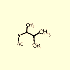 CC(=O)SC(C)C(C)O